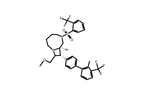 COCC1[C@@H](c2ccc(-c3cccc(C(F)(F)F)c3C)cc2)[C@@H]2CN(S(=O)(=O)c3ccccc3C(F)(F)F)CCCCN12